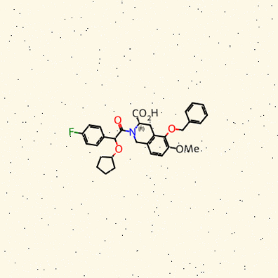 COc1ccc2c(c1OCc1ccccc1)C[C@H](C(=O)O)N(C(=O)C(OC1CCCC1)c1ccc(F)cc1)C2